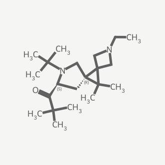 CCN1CC2(C1)C(C)(C)[C@]21C[C@@H](C(=O)C(C)(C)C)N(C(C)(C)C)C1